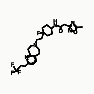 Cc1nc(CC(=O)NC2CCC(F)(CCN3CCc4ccc(CCC(F)(F)F)nc4CC3)CC2)no1